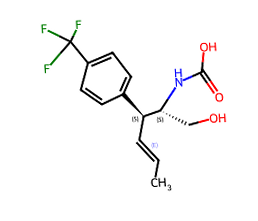 C/C=C/[C@@H](c1ccc(C(F)(F)F)cc1)[C@@H](CO)NC(=O)O